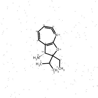 CCC1(C(C)C)OC2=C(C=CC=C=N2)[C@H]1N